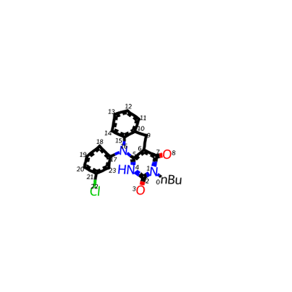 CCCCn1c(=O)[nH]c2c(c1=O)Cc1ccccc1N2c1cccc(Cl)c1